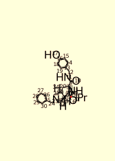 CC(C)C[C@@H]1[C@@H]2[C@@H]3C(=O)N[C@@]1(C(=O)NCc1ccc(O)cc1)C[C@@H]3CN2Cc1ccccc1